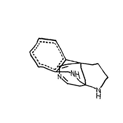 C1=CC23CCNC2(C=N1)Nc1ccccc13